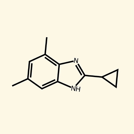 Cc1cc(C)c2nc(C3CC3)[nH]c2c1